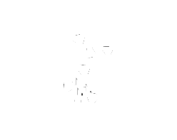 O=c1c2ccccc2nc2n(-c3ccc(-c4cc(-c5ccccc5)cc(-c5ccccc5)c4)cc3)c3ccccc3n12